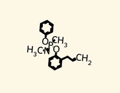 C=CCc1ccccc1OP(C)(=NC)Oc1ccccc1